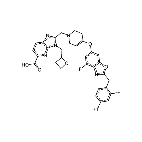 O=C(O)c1ccc2nc(CN3CC=C(Oc4cc(F)c5nc(Cc6ccc(Cl)cc6F)oc5c4)CC3)n(CC3CCO3)c2n1